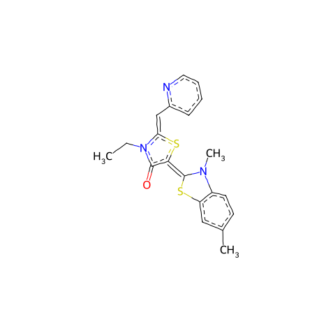 CCn1c(=O)/c(=C2\Sc3cc(C)ccc3N2C)s/c1=C\c1ccccn1